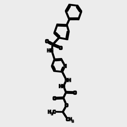 CC(C)OC(=O)C(=O)NNc1ccc(NS(=O)(=O)c2ccc(-c3ccccc3)cc2)cn1